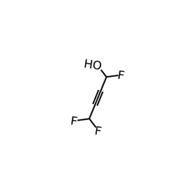 OC(F)C#CC(F)F